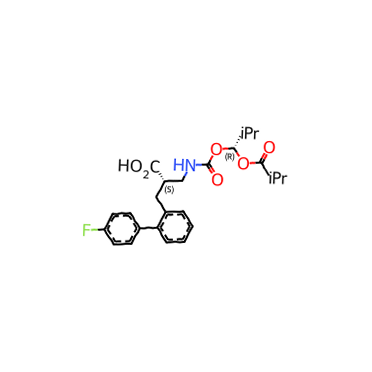 CC(C)C(=O)O[C@H](OC(=O)NC[C@H](Cc1ccccc1-c1ccc(F)cc1)C(=O)O)C(C)C